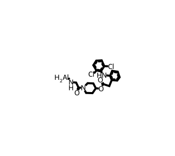 O=C(Cc1ccccc1Nc1c(Cl)cccc1Cl)OC1CCN(C(=O)C[NH][AlH2])CC1